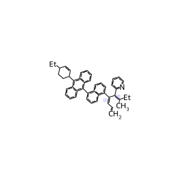 C=C/C=C(\C(=C(/C)CC)c1ccccn1)c1cccc2c(-c3c4ccccc4c(C4C=CC(CC)CC4)c4ccccc34)cccc12